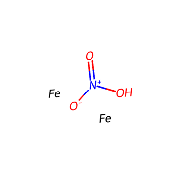 O=[N+]([O-])O.[Fe].[Fe]